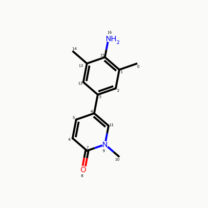 Cc1cc(-c2ccc(=O)n(C)c2)cc(C)c1N